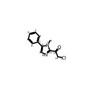 Cn1c(-c2ccccc2)cnc1C(=O)CCl